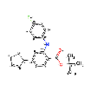 CC(C)(C)OC(=O)c1ccc(C2C=CCC2)cc1Nc1ccc(F)cc1